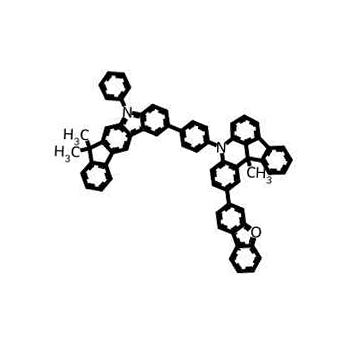 CC1(C)c2ccccc2-c2cc3c4cc(-c5ccc(N6c7ccc(-c8ccc9c(c8)oc8ccccc89)cc7C7(C)c8ccccc8-c8cccc6c87)cc5)ccc4n(-c4ccccc4)c3cc21